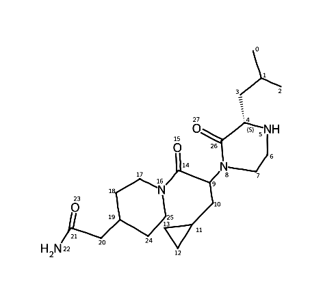 CC(C)C[C@@H]1NCCN(C(CC2CC2)C(=O)N2CCC(CC(N)=O)CC2)C1=O